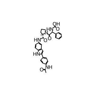 CC(=O)Nc1ccc(-c2cc3cc(NC(=O)[C@@H]4CCCN4C(=O)C(NC(=O)O)c4ccccc4)ccc3[nH]2)cc1